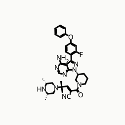 C[C@@H]1CN(C(C)(C)C=C(C#N)C(=O)N2CCC[C@H](n3nc(-c4ccc(Oc5ccccc5)cc4F)c4c(N)ncnc43)C2)C[C@H](C)N1